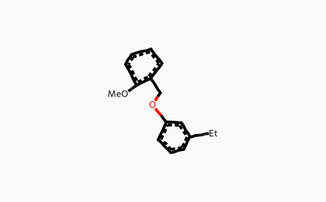 CCc1cccc(OCc2ccccc2OC)c1